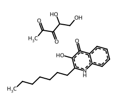 CC(=O)C(=O)C(O)CO.CCCCCCCc1[nH]c2ccccc2c(=O)c1O